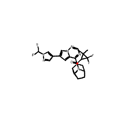 CC1(C)C(C(=O)N2C3CCC2CN(c2ncnn4cc(-c5cnn(C(F)F)c5)cc24)C3)C1(F)F